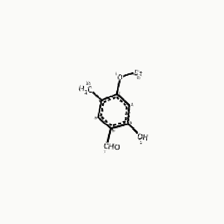 CCOc1cc(O)c(C=O)cc1C